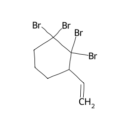 C=CC1CCCC(Br)(Br)C1(Br)Br